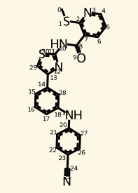 CSc1ncccc1C(=O)Nc1nc(-c2cccc(Nc3ccc(C#N)cc3)c2)cs1